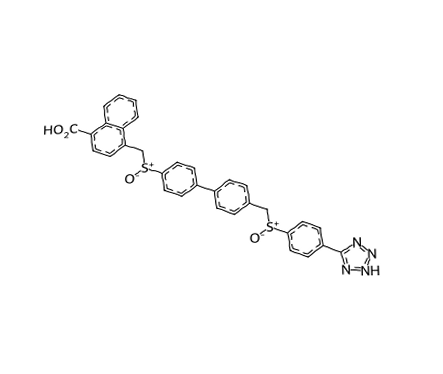 O=C(O)c1ccc(C[S+]([O-])c2ccc(-c3ccc(C[S+]([O-])c4ccc(-c5nn[nH]n5)cc4)cc3)cc2)c2ccccc12